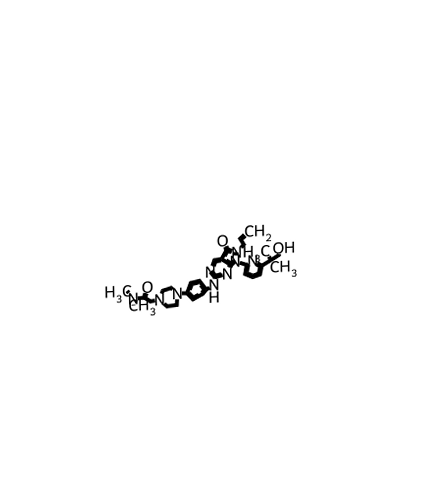 C=CCn1c(=O)c2cnc(Nc3ccc(N4CCN(CC(=O)N(C)C)CC4)cc3)nc2n1-c1cccc(C(C)(C)CO)n1